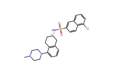 CN1CCN(c2cccc3c2CC[C@H](NS(=O)(=O)c2ccc4c(Cl)cccc4c2)C3)CC1